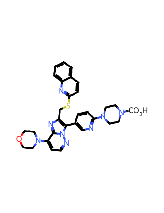 O=C(O)N1CCN(c2ccc(-c3c(CSc4ccc5ccccc5n4)nc4c(N5CCOCC5)ccnn34)cn2)CC1